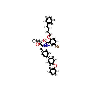 COC(=O)[C@H](Cc1ccc(-c2ccc(Oc3ccccc3)cc2)cc1)NC(=O)c1cc(Br)ccc1OCCCCc1ccccc1